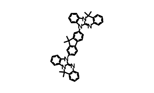 CC1(C)c2cc(N3C4=Nc5ccccc5C(C)(C)N4c4ccccc43)ccc2-c2ccc(N3C4=Nc5ccccc5C(C)(C)N4c4ccccc43)cc21